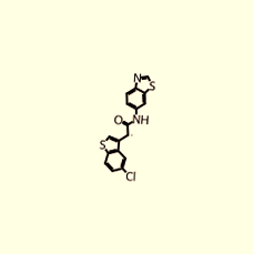 O=C([CH]c1csc2ccc(Cl)cc12)Nc1ccc2ncsc2c1